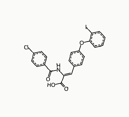 O=C(O)C(=Cc1ccc(Oc2ccccc2I)cc1)NC(=O)c1ccc(Cl)cc1